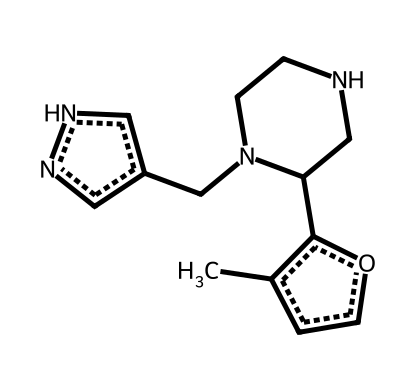 Cc1ccoc1C1CNCCN1Cc1cn[nH]c1